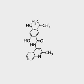 Cc1cc(NC(=O)c2cc(C(C)C)c(O)cc2O)c2ccccc2n1